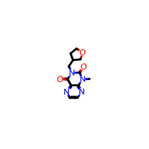 Cn1c(=O)n(CC2CCOC2)c(=O)c2nccnc21